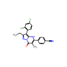 CCc1nn2c(=O)c(C)c(-c3ccc(C#N)cc3)[nH]c2c1-c1ccc(F)cc1F